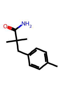 Cc1ccc(CC(C)(C)C(N)=O)cc1